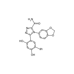 CC(C)c1cc(-c2nnc(C(N)=O)n2-c2ccc3c(c2)OCO3)c(O)cc1O